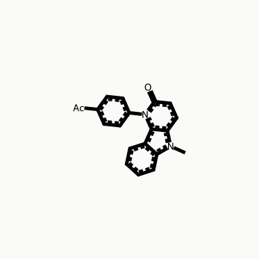 CC(=O)c1ccc(-n2c(=O)ccc3c2c2ccccc2n3C)cc1